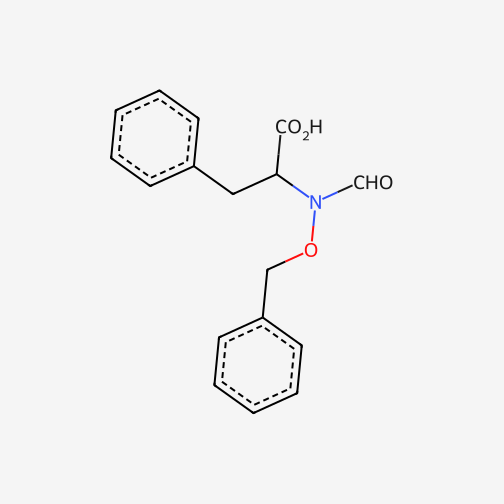 O=CN(OCc1ccccc1)C(Cc1ccccc1)C(=O)O